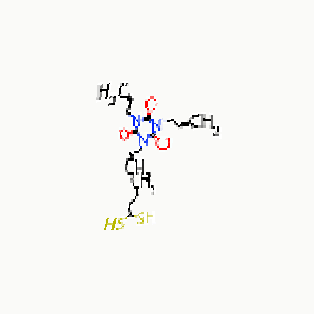 C=CCn1c(=O)n(CC=C)c(=O)n(CC=C)c1=O.CCCC(S)S